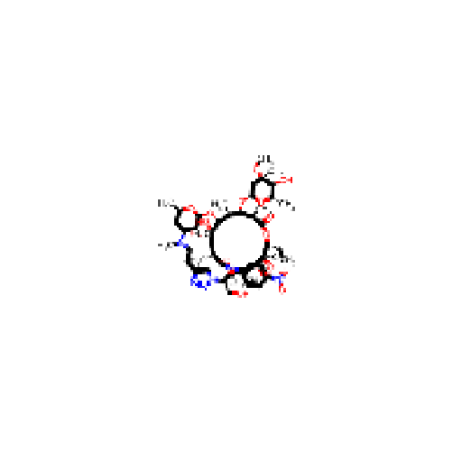 CC[C@H]1OC(=O)[C@H](C)[C@@H](O[C@H]2C[C@@](C)(OC)[C@@H](O)[C@H](C)O2)[C@H](C)[C@@H](O[C@@H]2O[C@H](C)C[C@H](N(C)CCc3cn([C@H](CO)[C@H](O)c4ccc([N+](=O)[O-])cc4)nn3)[C@H]2O)[C@](C)(O)C[C@@H](C)CN(C)[C@H](C)[C@@H](O)[C@]1(C)O